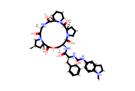 C[C@@H]1C[C@H]2C(=O)O[C@@H](C)[C@H](NC(=O)[C@H](CC3C=CC=CC3)NC(O)Nc3ccc4c(c3)CCN4C)C(=O)N3CCC[C@H]3C(=O)N3CCCC[C@H]3C(=O)N[C@@H](C)C(=O)N2C1